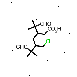 CC(C)(C=O)C(CCl)CC(CC(=O)O)C(C)(C)C=O